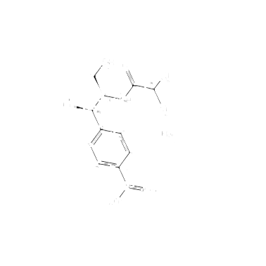 Br.O=C(N[C@H](CO)[C@H](O)c1ccc([N+](=O)[O-])cc1)C(Cl)Cl